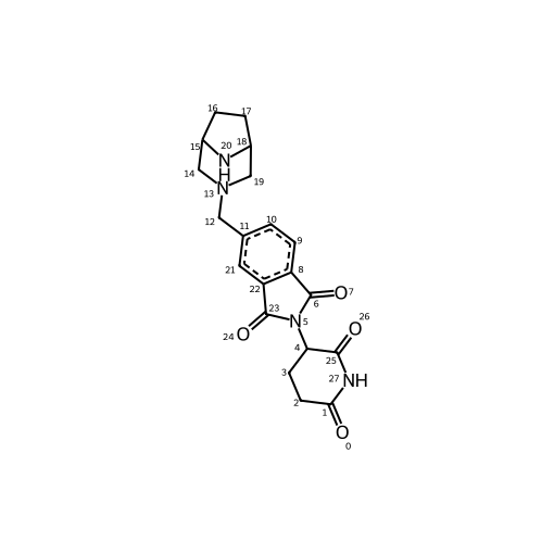 O=C1CCC(N2C(=O)c3ccc(CN4CC5CCC(C4)N5)cc3C2=O)C(=O)N1